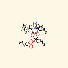 CC(=O)OCC1(C)COC2(CC(C)(C)NC(C)(C)C2)OC1